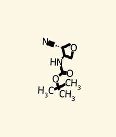 CC(C)(C)OC(=O)N[C@@H]1COC[C@H]1C#N